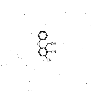 N#Cc1ccc(Oc2ccccc2)c(CO)c1C#N